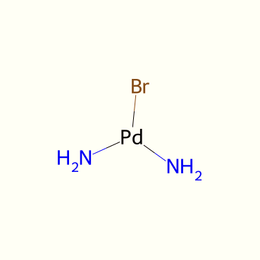 [NH2][Pd]([NH2])[Br]